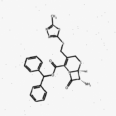 Cc1nnc(SCC2=C(C(=O)OC(c3ccccc3)c3ccccc3)N3C(=O)[C@@H](N)[C@@H]3SC2)s1